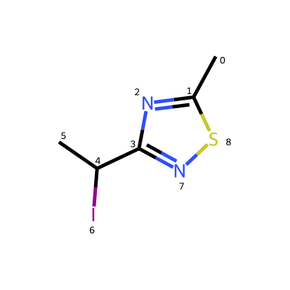 Cc1nc(C(C)I)ns1